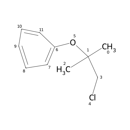 CC(C)(CCl)Oc1ccccc1